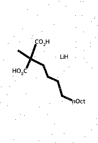 CCCCCCCCCCCCC(C)(C(=O)O)C(=O)O.[LiH]